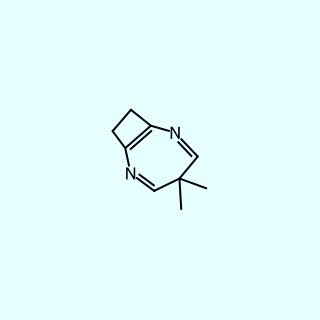 CC1(C)C=NC2=C(CC2)N=C1